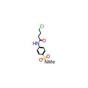 CNS(=O)(=O)c1ccc(NC(=O)CCCCl)cc1